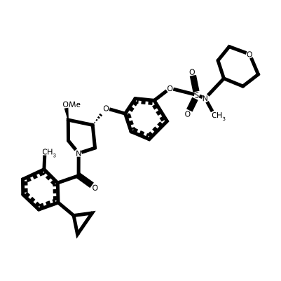 CO[C@@H]1CN(C(=O)c2c(C)cccc2C2CC2)C[C@H]1Oc1cccc(OS(=O)(=O)N(C)C2CCOCC2)c1